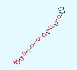 OCCOCCOCCOCCOCCOCCOCCOCCOCCOCCOCc1ccc2ccccc2c1